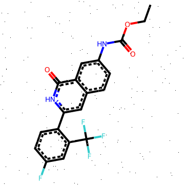 CCOC(=O)Nc1ccc2cc(-c3ccc(F)cc3C(F)(F)F)[nH]c(=O)c2c1